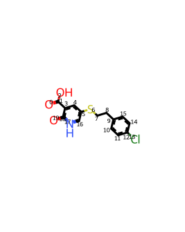 O=C(O)c1cc(SCCc2ccc(Cl)cc2)c[nH]c1=O